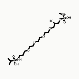 CNP(=O)(O)OCC(O)COCCOCCOCCOCCCNP(=O)(O)C(C)C